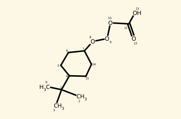 CC(C)(C)C1CCC(OOOC(=O)O)CC1